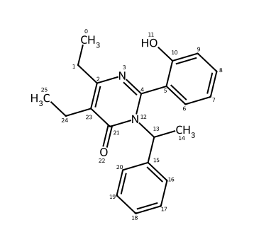 CCc1nc(-c2ccccc2O)n(C(C)c2ccccc2)c(=O)c1CC